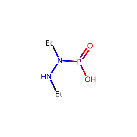 CCNN(CC)[P](=O)O